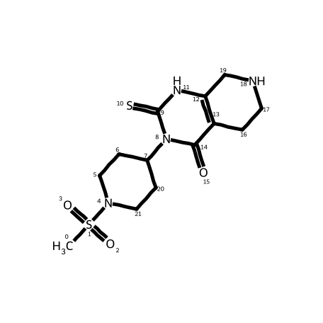 CS(=O)(=O)N1CCC(n2c(=S)[nH]c3c(c2=O)CCNC3)CC1